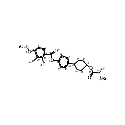 CCCCCCCCOc1ccc(C(=O)Oc2ccc(C3CCC(OC(=O)[C@H](F)CCCC)CC3)cc2)c(F)c1F